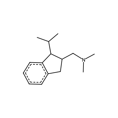 CC(C)C1c2ccccc2CC1CN(C)C